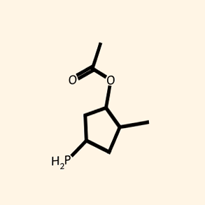 CC(=O)OC1CC(P)CC1C